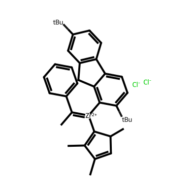 CC1=CC(C)[C](/[Zr+2](=[C](\C)c2ccccc2)[c]2c(C(C)(C)C)ccc3c2Cc2cc(C(C)(C)C)ccc2-3)=C1C.[Cl-].[Cl-]